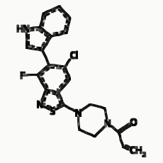 C=CC(=O)N1CCN(c2snc3c(F)c(-c4c[nH]c5ccccc45)c(Cl)cc23)CC1